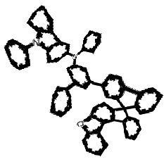 c1ccc(-c2cc(-c3ccc4c(c3)C3(c5ccccc5-4)c4ccccc4-c4c3ccc3oc5ccccc5c43)cc(N(c3ccccc3)c3ccc4c(c3)c3ccccc3n4-c3ccccc3)c2)cc1